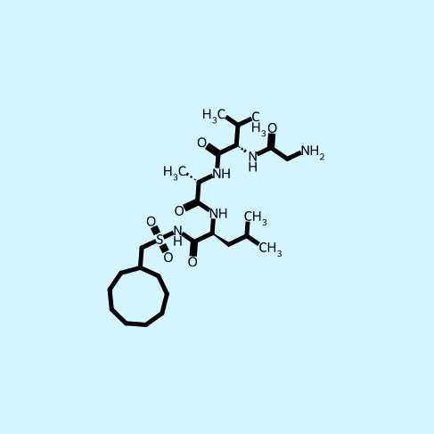 CC(C)C[C@H](NC(=O)[C@H](C)NC(=O)[C@@H](NC(=O)CN)C(C)C)C(=O)NS(=O)(=O)CC1CCCCCCCC1